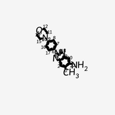 Cc1cc2nn(-c3ccc(N4CCOCC4)cc3)nc2cc1N